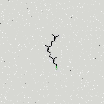 CC(C)=CCCC(C)=CCC/C(C)=C/CCl